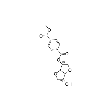 COC(=O)c1ccc(C(=O)O[C@H]2COC3C2OC[C@H]3O)cc1